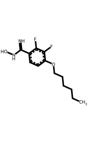 CCCCCCOc1ccc(C(=N)NO)c(F)c1F